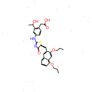 CCCOc1cc2c(OCCC)cccc2cc1/C=C1/SC(Nc2ccc(CC(=O)O)c(C(C)O)c2)=NC1=O